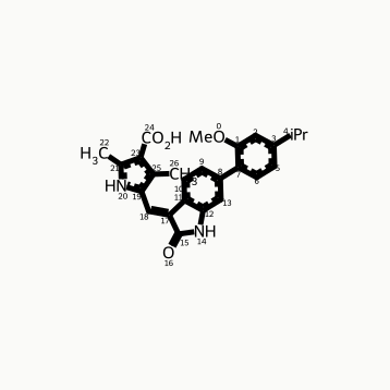 COc1cc(C(C)C)ccc1-c1ccc2c(c1)NC(=O)C2=Cc1[nH]c(C)c(C(=O)O)c1C